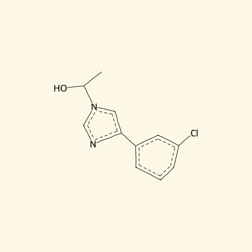 CC(O)n1cnc(-c2cccc(Cl)c2)c1